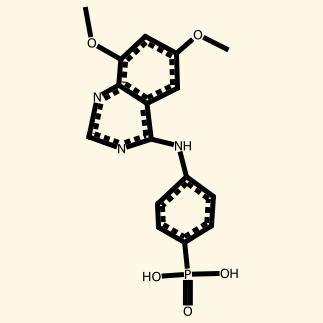 COc1cc(OC)c2ncnc(Nc3ccc(P(=O)(O)O)cc3)c2c1